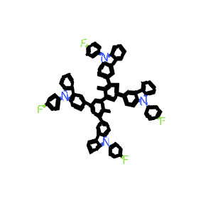 Cc1c(-c2ccc3c(c2)c2ccccc2n3-c2ccc(F)cc2)cc(-c2ccc3c(c2)C2C=CC=CC2N3c2ccc(F)cc2)cc1-c1cc(-c2ccc3c(c2)c2ccccc2n3-c2ccc(F)cc2)cc(-c2ccc3c(c2)c2ccccc2n3-c2ccc(F)cc2)c1C